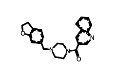 O=C(c1cnc2ccccc2c1)N1CCN(Cc2ccc3c(c2)OCC3)CC1